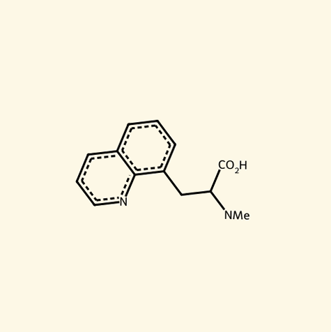 CNC(Cc1cccc2cccnc12)C(=O)O